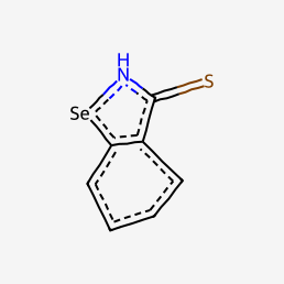 S=c1[nH][se]c2ccccc12